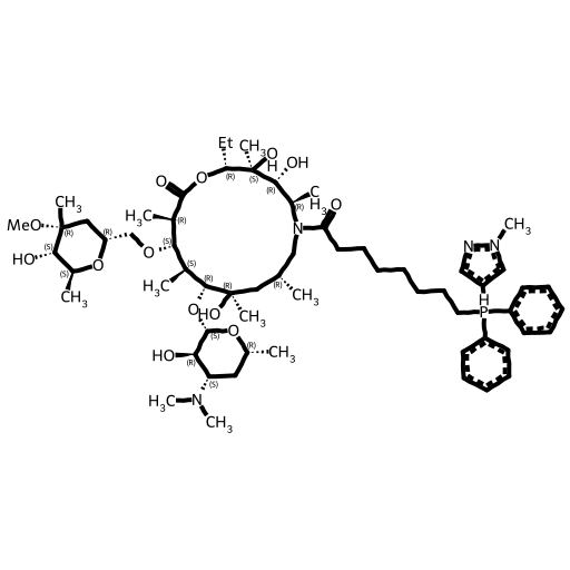 CC[C@H]1OC(=O)[C@H](C)[C@@H](OC[C@H]2C[C@@](C)(OC)[C@@H](O)[C@H](C)O2)[C@H](C)[C@@H](O[C@@H]2O[C@H](C)C[C@H](N(C)C)[C@H]2O)[C@](C)(O)C[C@@H](C)CN(C(=O)CCCCCCC[PH](c2ccccc2)(c2ccccc2)c2cnn(C)c2)[C@H](C)[C@@H](O)[C@]1(C)O